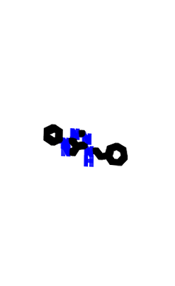 C1=C(CCNc2ncnc3c2cnn3-c2ccccc2)CCCCC1